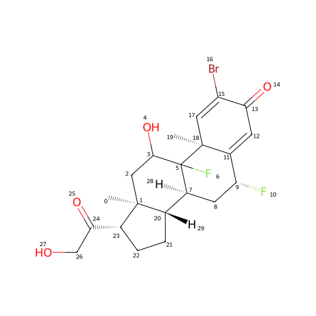 C[C@]12CC(O)C3(F)[C@@H](C[C@@H](F)C4=CC(=O)C(Br)=C[C@@]43C)[C@@H]1CC[C@@H]2C(=O)CO